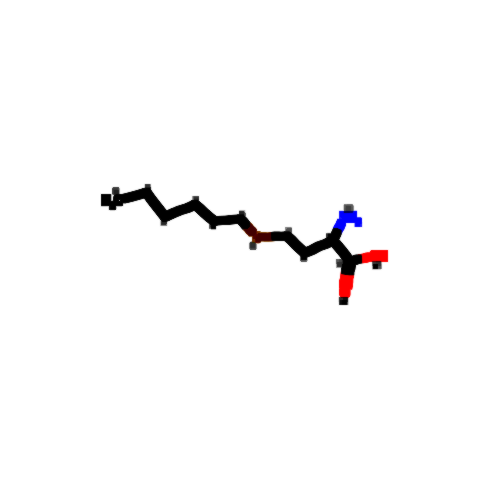 CCCCCCSCCC(N)C(=O)O